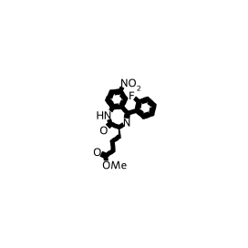 COC(=O)CCC[C@@H]1N=C(c2ccccc2F)c2cc([N+](=O)[O-])ccc2NC1=O